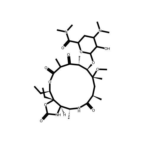 CC[C@H]1OC(=O)C(C)C(=O)[C@H](C)[C@@H](OC2OC(C(=O)N(C)C)CC(N(C)C)C2O)[C@](C)(OC)C[C@@H](C)C(=O)N[C@H](C)[C@H]2NC(=O)O[C@@]21CC